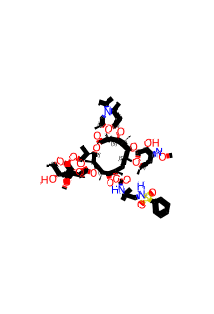 CO/N=C1\C[C@@H](C)O[C@@H](O[C@@H]2[C@@H](C)[C@H](O[C@H]3CC(C)N(C(C)C)C[C@H](C)O3)[C@@H](C)C(=O)O[C@H](C(C)CO[C@@H]3O[C@H](C)[C@@H](O)[C@@H](OC)[C@H]3OC)[C@H](C)[C@@H](OC(=O)CC(C)C)[C@@H](C)C(=O)[C@@](C)(OC(=O)NC(C)(C)CNS(=O)(=O)c3ccccc3)C[C@@H]2C)[C@@H]1O